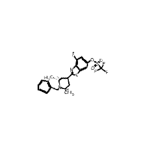 C[C@@H]1CC(c2nc3c(F)cc(OS(=O)(=O)C(F)(F)F)cc3s2)C[C@H](C)N1Cc1ccccc1